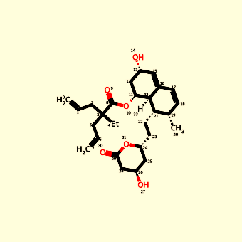 C=CCC(CC)(CC=C)C(=O)O[C@@H]1C[C@H](O)C=C2C=C[C@H](C)[C@H](CC[C@@H]3C[C@@H](O)CC(=O)O3)[C@H]21